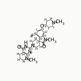 CN1CCC(Oc2cc(F)c3c(c2)N(C)C(=O)C32CCN(c3nc4c(c(=O)[nH]3)CCCN4C)CC2)CC1